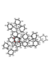 c1ccc(C2(c3ccccc3)c3ccccc3Oc3ccc(N(c4ccc5c(c4)C(c4ccccc4)(c4ccccc4)c4ccccc4-5)c4ccc5c(c4)C4(c6cc(C7CCCCC7)ccc6Oc6ccc(C7CCCCC7)cc64)c4ccccc4-5)cc32)cc1